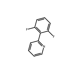 Fc1cccc(F)c1-c1ccc[c]n1